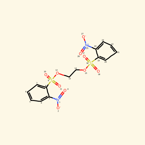 O=[N+]([O-])c1ccccc1S(=O)(=O)OCCOS(=O)(=O)c1ccccc1[N+](=O)[O-]